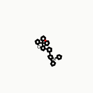 c1ccc(-n2c3ccccc3c3ccc(-c4cccc(-c5ccc6c(c5)C(c5ccccc5)(c5ccccc5)c5ccccc5O6)c4)cc32)cc1